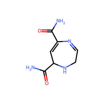 NC(=O)C1=CC(C(N)=O)NCC=N1